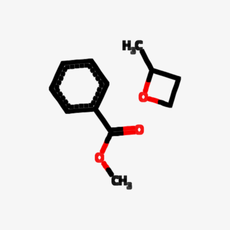 CC1CCO1.COC(=O)c1ccccc1